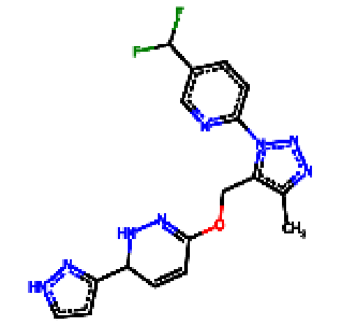 Cc1nnn(-c2ccc(C(F)F)cn2)c1COC1=NNC(c2cc[nH]n2)C=C1